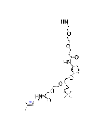 CNCCOCCOCCC(=O)Nc1cccc(OCC(OCCOCC(=O)NC/C=C/C(C)C)SSC(C)(C)C)c1